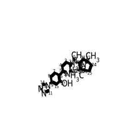 CN(c1ccc(-c2ccc(-n3cnnc3)cc2O)nn1)[C@H]1C[C@]2(C)C=C[C@](C)([C@H]1F)N2C